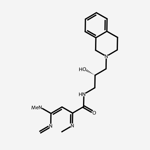 C=N/C(=C\C(=N/C)C(=O)NC[C@H](O)CN1CCc2ccccc2C1)NC